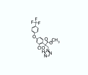 COC(=O)C(O)(Cn1cncn1)c1ccc(Oc2ccc(C(F)(F)F)cc2)cc1Cl